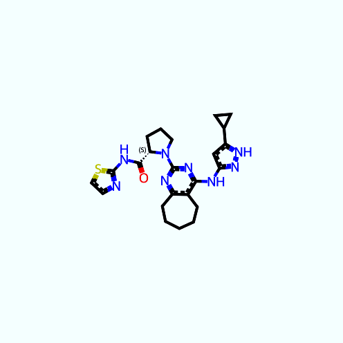 O=C(Nc1nccs1)[C@@H]1CCCN1c1nc2c(c(Nc3cc(C4CC4)[nH]n3)n1)CCCCC2